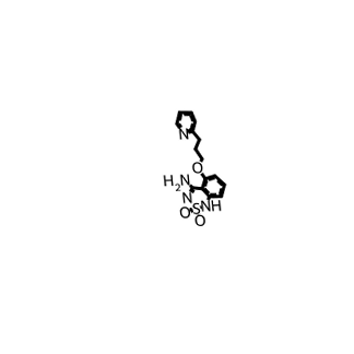 NC1=NS(=O)(=O)Nc2cccc(OCCCc3ccccn3)c21